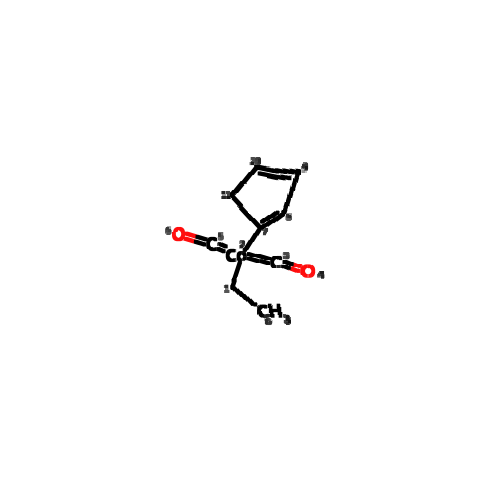 C[CH2][Co](=[C]=O)(=[C]=O)[C]1=CC=CC1